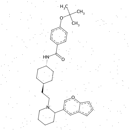 CC(C)(C)Oc1ccc(C(=O)N[C@H]2CC[C@H](CCN3CCCCC3c3coc4cccc-4c3)CC2)cc1